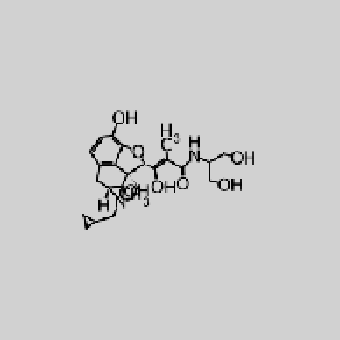 C/C(C(=O)NC(CO)CO)=C(/O)[C@@H]1Oc2c(O)ccc3c2[C@@]12CCN(CC1CC1)[C@H](C3)[C@@]2(C)O